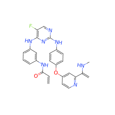 C=CC(=O)Nc1cccc(Nc2nc(Nc3ccc(Oc4ccnc(C(=C)NC)c4)cc3)ncc2F)c1